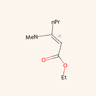 CCC/C(=C/C(=O)OCC)NC